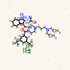 CCN(CC)CCCN1CCN(C(=O)c2cc(C(F)(F)F)cc(C(F)(F)F)c2)[C@@](CC(N)=O)(Cc2c[nH]c3ccccc23)C1.Cl.Cl